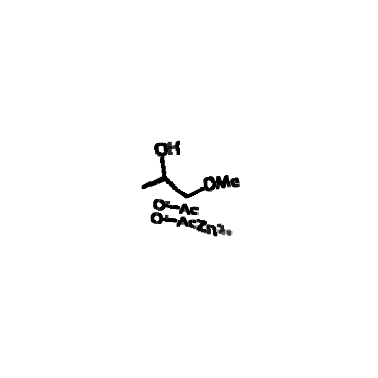 CC(=O)[O-].CC(=O)[O-].COCC(C)O.[Zn+2]